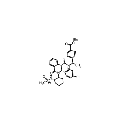 CC(NC(=O)[C@@H]1c2ccccc2C(=O)N([C@H]2CCCC[C@@H]2NS(C)(=O)=O)[C@H]1c1ccc(Cl)cc1)c1ccc(C(=O)OC(C)(C)C)cc1